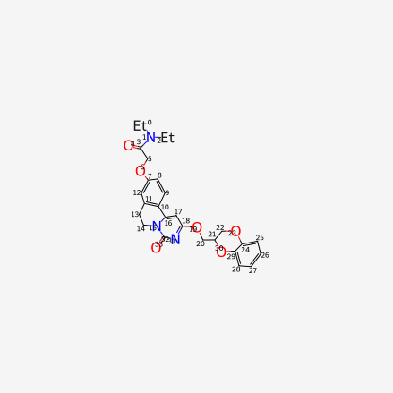 CCN(CC)C(=O)COc1ccc2c(c1)CCn1c-2cc(OCC2COc3ccccc3O2)nc1=O